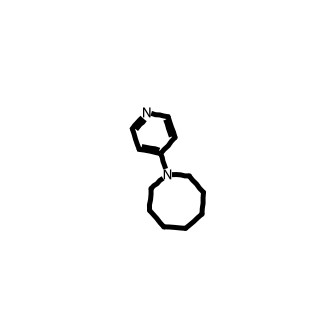 c1cc(N2CCCCCCC2)ccn1